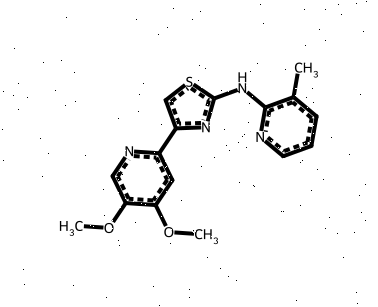 COc1cnc(-c2csc(Nc3ncccc3C)n2)cc1OC